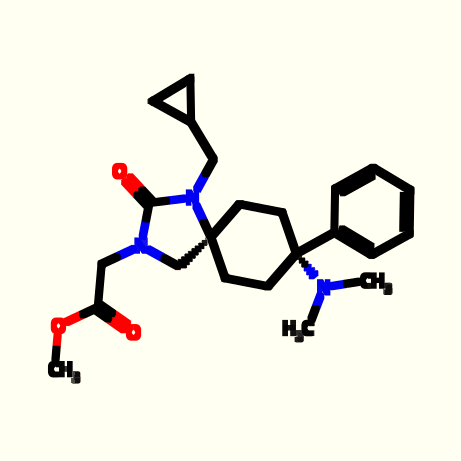 COC(=O)CN1C[C@]2(CC[C@@](c3ccccc3)(N(C)C)CC2)N(CC2CC2)C1=O